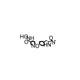 CN[C@@H](Cc1ccc(Oc2ccc(C(=O)NO)cn2)cc1)C(=O)N(C)C